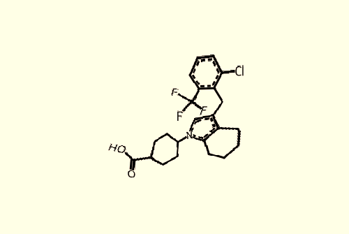 O=C(O)C1CCC(n2cc(Cc3c(Cl)cccc3C(F)(F)F)c3c2CCCC3)CC1